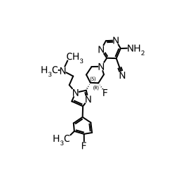 Cc1cc(-c2cn(CCN(C)C)c([C@@H]3CCN(c4ncnc(N)c4C#N)C[C@@H]3F)n2)ccc1F